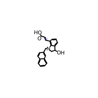 O=C(O)/C=C/c1cccc2c1N(Cc1ccc3ccccc3c1)CC2O